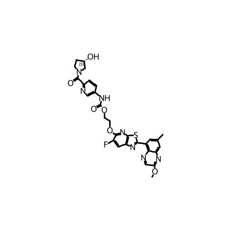 COc1cnc2c(-c3nc4cc(F)c(OCCOC(=O)Nc5ccc(C(=O)N6CC[C@H](O)C6)nc5)nc4s3)cc(C)cc2n1